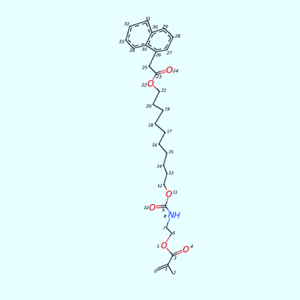 C=C(C)C(=O)OCCNC(=O)OCCCCCCCCCCOC(=O)Cc1cccc2ccccc12